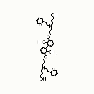 Cc1c(OCCCN(CCCO)CCc2ccccn2)cccc1-c1cccc(OCCCN(CCCO)CCc2ccccn2)c1C